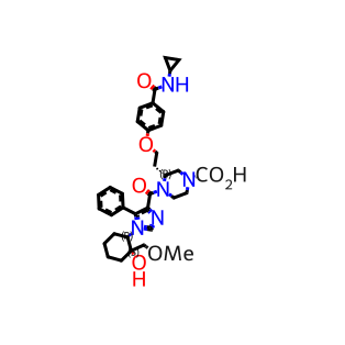 COC[C@]1(O)CCCC[C@H]1n1cnc(C(=O)N2CCN(C(=O)O)C[C@H]2CCOc2ccc(C(=O)NC3CC3)cc2)c1-c1ccccc1